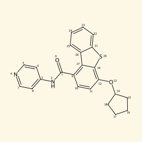 O=C(Nc1ccncc1)c1ccc(OC2CCCC2)c2sc3ccccc3c12